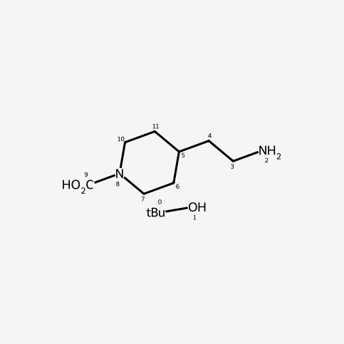 CC(C)(C)O.NCCC1CCN(C(=O)O)CC1